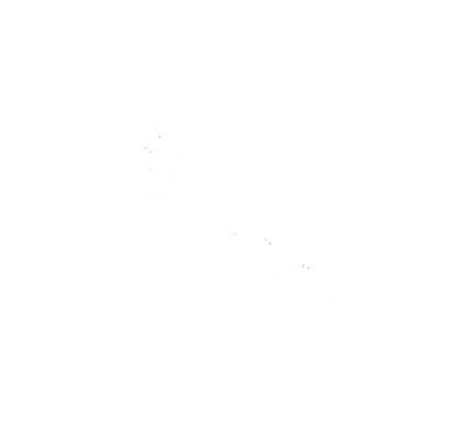 Cc1ccc(OCCCN2CCN(Cc3ccc4ccccc4n3)CC2)c2ccc(=O)[nH]c12